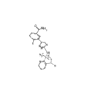 CC(C)(Nc1ncc(-c2cc(C(N)=O)ccc2F)nn1)c1ncccc1C(F)F